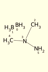 B.B.CN(C)N